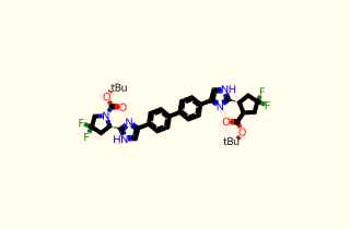 CC(C)(C)OC(=O)C1CC(F)(F)C[C@H]1c1nc(-c2ccc(-c3ccc(-c4c[nH]c([C@@H]5CC(F)(F)CN5C(=O)OC(C)(C)C)n4)cc3)cc2)c[nH]1